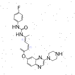 C=C(/C=C\C=C(/C)NC(=O)Nc1ccc(F)cc1)Oc1ccc2ncc(N3CCNCC3)nc2c1